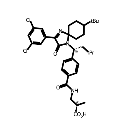 CC(C)C[C@H](c1ccc(C(=O)NC[C@@H](C)C(=O)O)cc1)N1C(=O)C(c2cc(Cl)cc(Cl)c2)=NC12CCC(C(C)(C)C)CC2